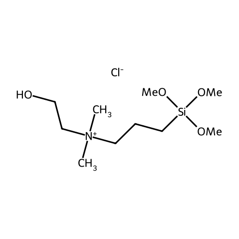 CO[Si](CCC[N+](C)(C)CCO)(OC)OC.[Cl-]